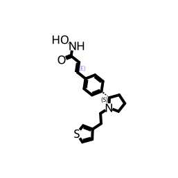 O=C(/C=C/c1ccc([C@@H]2CCCN2CCc2ccsc2)cc1)NO